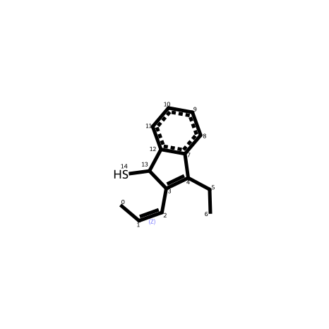 C/C=C\C1=C(CC)c2ccccc2C1S